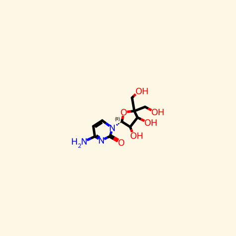 Nc1ccn([C@@H]2OC(CO)(CO)C(O)C2O)c(=O)n1